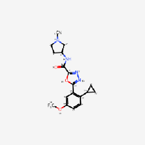 N#CN1CCC(NC(=O)c2nnc(-c3cc(OC(F)(F)F)ccc3C3CC3)o2)C1